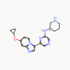 c1cn2c(-c3cncc(N[C@@H]4CCCNC4)n3)cnc2cc1OC1CC1